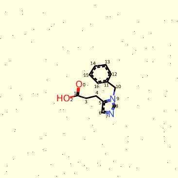 O=C(O)CCc1cncn1Cc1ccccc1